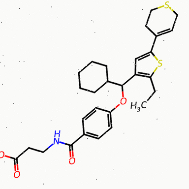 CCc1sc(C2=CCSCC2)cc1C(Oc1ccc(C(=O)NCCC(=O)O)cc1)C1CCCCC1